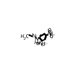 C=C/C=N/Nc1ccc([N+](=O)[O-])cc1[N+](=O)[O-]